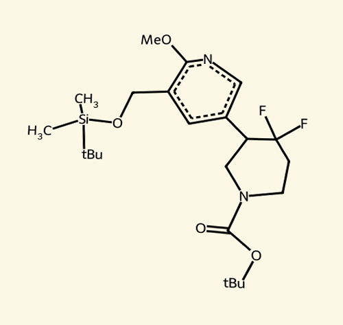 COc1ncc(C2CN(C(=O)OC(C)(C)C)CCC2(F)F)cc1CO[Si](C)(C)C(C)(C)C